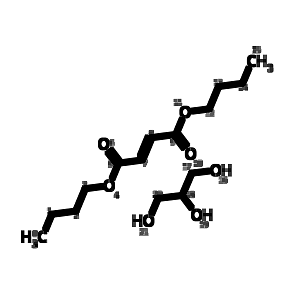 CCCCOC(=O)C=CC(=O)OCCCC.OCC(O)CO